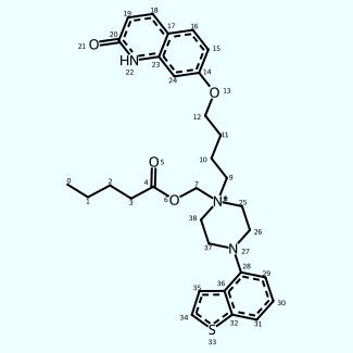 CCCCC(=O)OC[N+]1(CCCCOc2ccc3ccc(=O)[nH]c3c2)CCN(c2cccc3sccc23)CC1